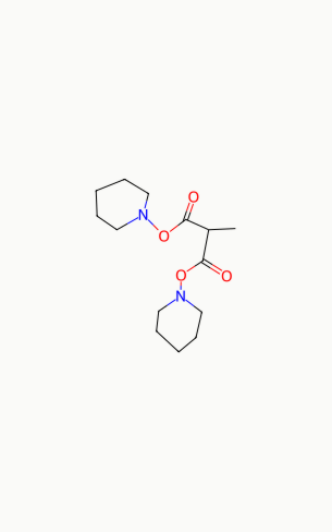 CC(C(=O)ON1CCCCC1)C(=O)ON1CCCCC1